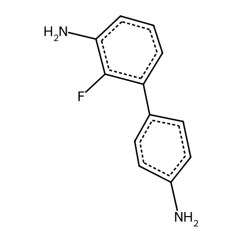 Nc1ccc(-c2cccc(N)c2F)cc1